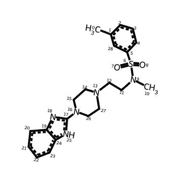 Cc1cccc(S(=O)(=O)N(C)CCN2CCN(c3nc4ccccc4[nH]3)CC2)c1